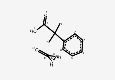 CC(C)(C(=O)O)c1ccccc1.O=C1NN1